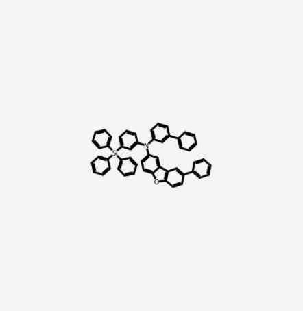 c1ccc(-c2cccc(N(c3cccc([Si](c4ccccc4)(c4ccccc4)c4ccccc4)c3)c3ccc4oc5ccc(-c6ccccc6)cc5c4c3)c2)cc1